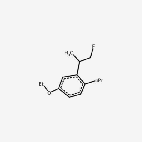 CCCc1ccc(OCC)cc1[C](C)CF